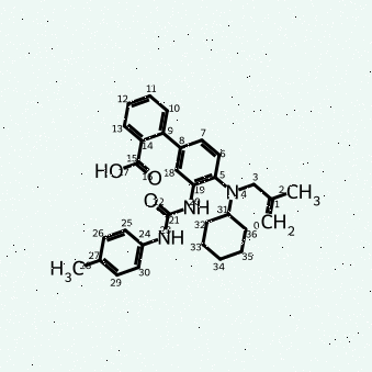 C=C(C)CN(c1ccc(-c2ccccc2C(=O)O)cc1NC(=O)Nc1ccc(C)cc1)C1CCCCC1